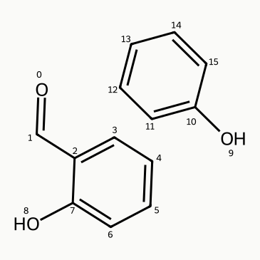 O=Cc1ccccc1O.Oc1ccccc1